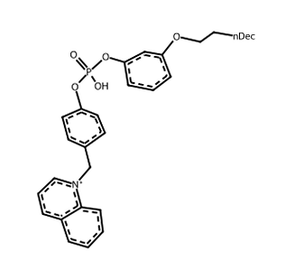 CCCCCCCCCCCCOc1cccc(OP(=O)(O)Oc2ccc(C[n+]3cccc4ccccc43)cc2)c1